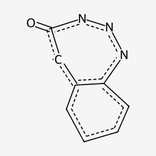 O=c1[c]c2ccccc2nnn1